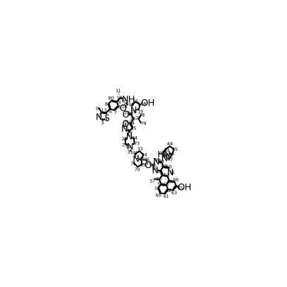 Cc1ncsc1-c1ccc([C@H](C)NC(=O)[C@@H]2C[C@@H](O)CN2C(=O)[C@@H](c2cc(N3CCN(C[C@@H]4CC[C@]5(COc6nc(N7CC8CCC(C7)N8)c7cnc8c(c7n6)C(C)c6cccc7cc(O)cc-8c67)CCCN45)CC3)no2)C(C)C)cc1